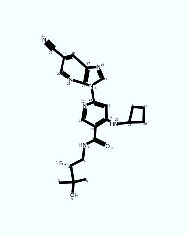 CC(C)(O)[C@H](F)CNC(=O)c1cnc(-n2cnc3cc(C#N)cnc32)cc1NC1CCC1